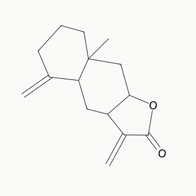 C=C1C(=O)OC2CC3(C)CCCC(=C)C3CC12